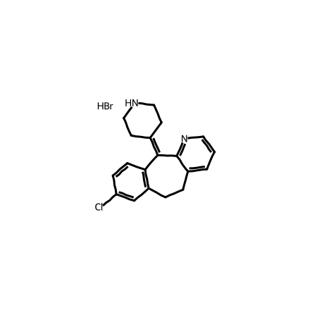 Br.Clc1ccc2c(c1)CCc1cccnc1C2=C1CCNCC1